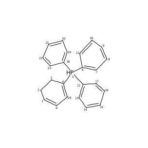 C1=CCCC([PH](c2ccccc2)(c2ccccc2)c2ccccc2)=C1